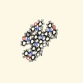 N#Cc1ccc(-c2c(C#N)c(-c3ccc(C#N)cc3)c(-n3c4ccc(N5c6ccccc6Oc6ccccc65)cc4c4cc(N5c6ccccc6Oc6ccccc65)ccc43)c(-c3ccc(C#N)cc3)c2-n2c3ccc(N4C5=C(C=CCC5)Oc5ccccc54)cc3c3cc(N4c5ccccc5Oc5ccccc54)ccc32)cc1